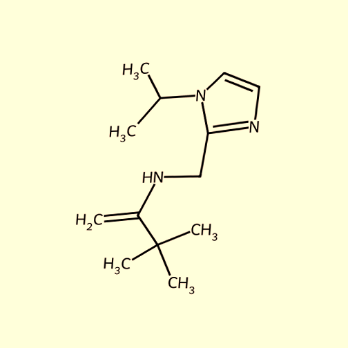 C=C(NCc1nccn1C(C)C)C(C)(C)C